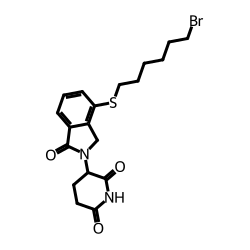 O=C1CCC(N2Cc3c(SCCCCCCBr)cccc3C2=O)C(=O)N1